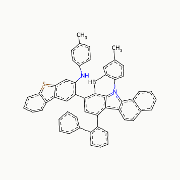 Cc1ccc(Nc2cc3sc4ccccc4c3cc2-c2cc(-c3ccccc3-c3ccccc3)c3c4ccc5ccccc5c4n4c3c2Bc2cc(C)ccc2-4)cc1